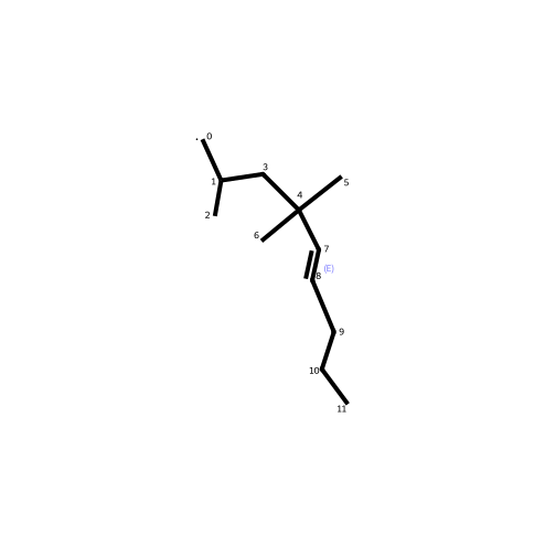 [CH2]C(C)CC(C)(C)/C=C/CCC